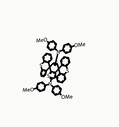 COc1ccc(N(c2ccc(OC)cc2)c2cc3c(s2)C2(c4ccccc4Sc4ccccc42)c2cc(N(c4ccc(OC)cc4)c4ccc(OC)cc4)sc2C32c3ccccc3Sc3ccccc32)cc1